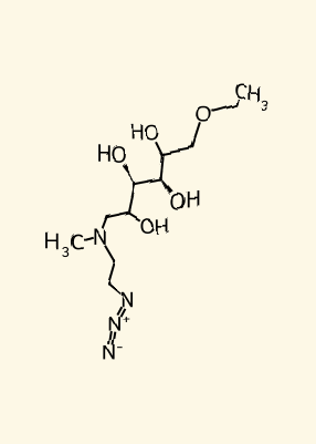 CCOCC(O)[C@@H](O)[C@H](O)C(O)CN(C)CCN=[N+]=[N-]